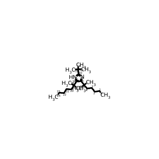 CCCCCC(C)(C)c1nc(C(C)(C)C)[nH]c1C(C)(C)CCCCC